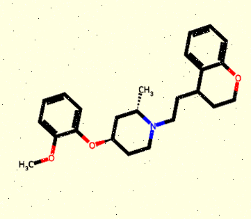 COc1ccccc1O[C@@H]1CCN(CCC2CCOc3ccccc32)[C@@H](C)C1